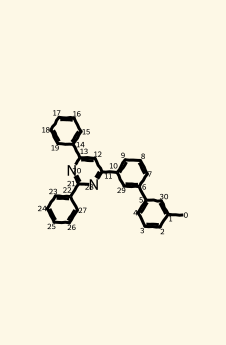 Cc1cccc(-c2cccc(-c3cc(-c4ccccc4)nc(-c4ccccc4)n3)c2)c1